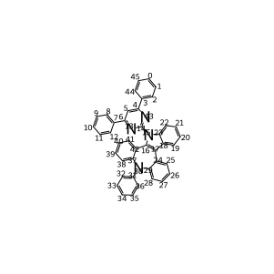 c1ccc(-c2cc(-c3ccccc3)nc(-n3c4c(c5ccccc53)-c3ccccc3N(c3ccccc3)c3ccccc3-4)n2)cc1